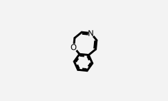 C1=Cc2ccccc2OCC=N1